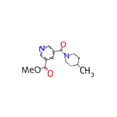 COC(=O)c1cncc(C(=O)N2CCC(C)CC2)c1